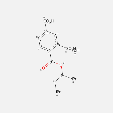 CC(C)CC(OC(=O)c1ccc(C(=O)O)cc1S(=O)(=O)O)C(C)C.[LiH]